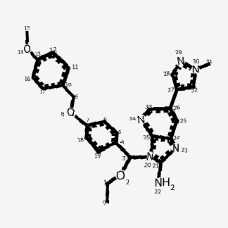 CCOC(c1ccc(OCc2ccc(OC)cc2)cc1)n1c(N)nc2cc(-c3cnn(C)c3)cnc21